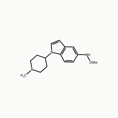 CONc1ccc2c(ccn2C2CCN(C)CC2)c1